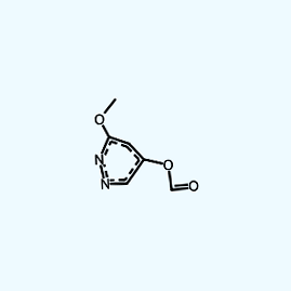 COc1cc(OC=O)cnn1